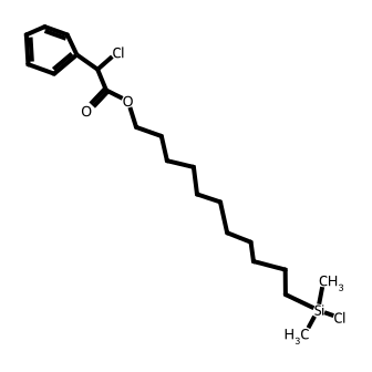 C[Si](C)(Cl)CCCCCCCCCCCOC(=O)C(Cl)c1ccccc1